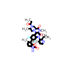 C=CC(=O)N1CC2C(=O)N(C)c3c(c4cc(F)c(-c5c(C)ccc6[nH]c(=O)oc56)c(F)c4n(-c4c(C)ccnc4C(C)C)c3=O)N2CC1C